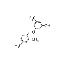 Cc1ccc(COc2cc(O)cc(C(F)(F)F)c2)c(C)c1